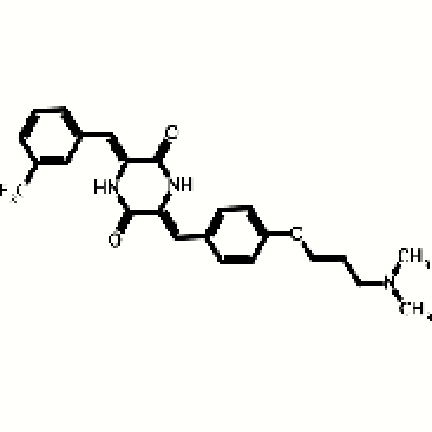 CN(C)CCCOc1ccc(C=c2[nH]c(=O)c(=Cc3cccc(C(F)(F)F)c3)[nH]c2=O)cc1